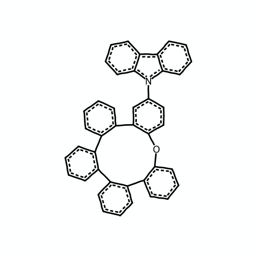 c1ccc2c(c1)Oc1ccc(-n3c4ccccc4c4ccccc43)cc1-c1ccccc1-c1ccccc1-c1ccccc1-2